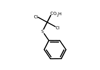 O=C(O)C(Cl)(Cl)Sc1ccccc1